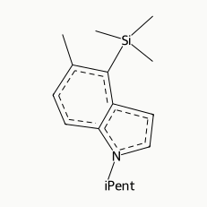 CCCC(C)n1ccc2c([Si](C)(C)C)c(C)ccc21